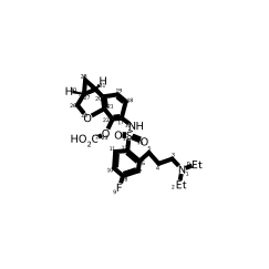 CCN(CC)CCCc1cc(F)ccc1S(=O)(=O)Nc1ccc2c(c1OC(=O)O)OC[C@@H]1C[C@H]21